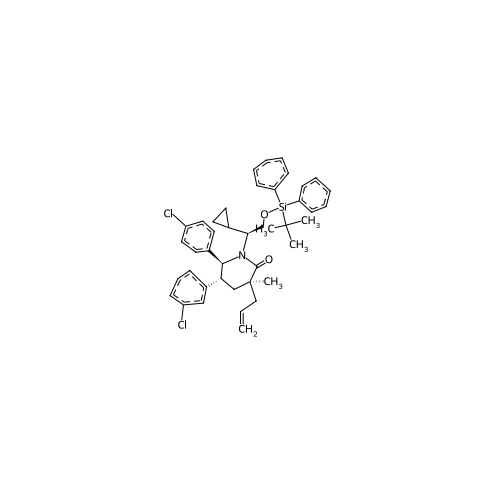 C=CC[C@@]1(C)C[C@H](c2cccc(Cl)c2)[C@@H](c2ccc(Cl)cc2)N([C@H](CO[Si](c2ccccc2)(c2ccccc2)C(C)(C)C)C2CC2)C1=O